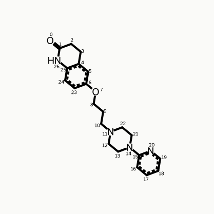 O=C1CCc2cc(OCCCN3CCN(c4ccccn4)CC3)ccc2N1